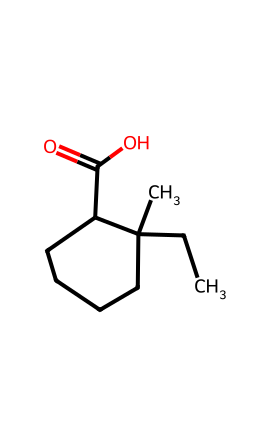 CCC1(C)CCCCC1C(=O)O